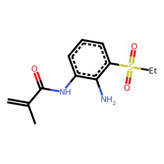 C=C(C)C(=O)Nc1cccc(S(=O)(=O)CC)c1N